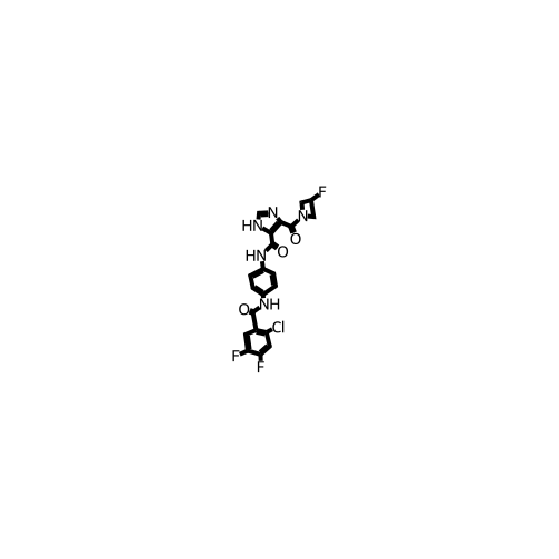 O=C(Nc1ccc(NC(=O)c2[nH]cnc2C(=O)N2CC(F)C2)cc1)c1cc(F)c(F)cc1Cl